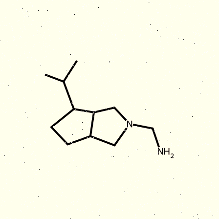 CC(C)C1CCC2CN(CN)CC21